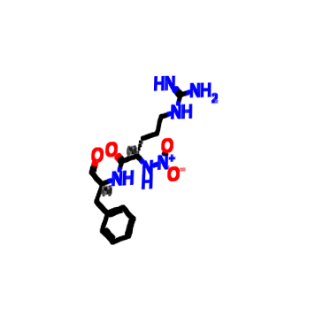 N=C(N)NCCC[C@H](N[N+](=O)[O-])C(=O)N[C@H](C=O)Cc1ccccc1